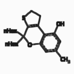 CCCCCCC1(CCCCCC)Oc2cc(C)cc(O)c2C2=C1SCC2